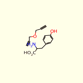 C#CCOCC#C.NC(Cc1ccc(O)cc1)C(=O)O